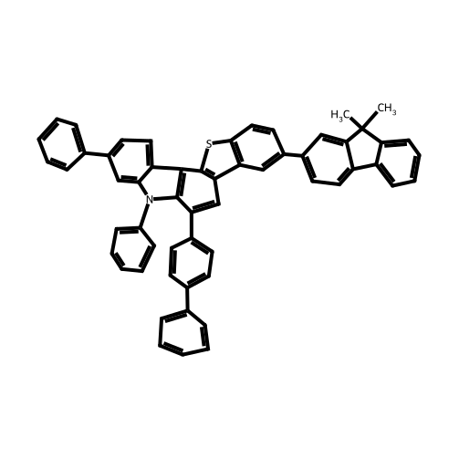 CC1(C)c2ccccc2-c2ccc(-c3ccc4sc5c(cc(-c6ccc(-c7ccccc7)cc6)c6c5c5ccc(-c7ccccc7)cc5n6-c5ccccc5)c4c3)cc21